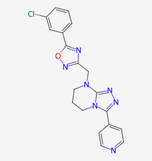 Clc1cccc(-c2nc(CN3CCCn4c(-c5ccncc5)nnc43)no2)c1